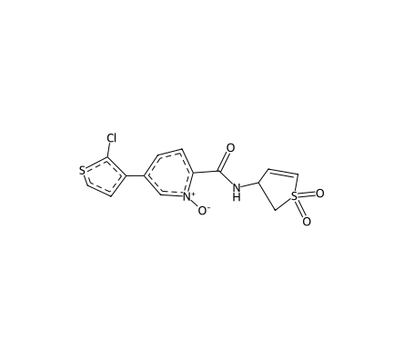 O=C(NC1C=CS(=O)(=O)C1)c1ccc(-c2ccsc2Cl)c[n+]1[O-]